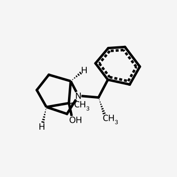 C[C@@H](c1ccccc1)N1C[C@H]2CC[C@@H]1[C@@]2(C)O